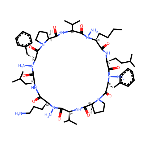 CCCC[C@H]1C(=O)N[C@@H](CCC(C)C)C(=O)N(N)[C@H](Cc2ccccc2)C(=O)N2CCC[C@H]2C(=O)N[C@@H](C(C)C)C(=O)N(N)[C@@H](CCCN)C(=O)N[C@@H](CC(C)C)C(=O)N(N)[C@H](Cc2ccccc2)C(=O)N2CCC[C@H]2C(=O)N[C@@H](C(C)C)C(=O)N1N